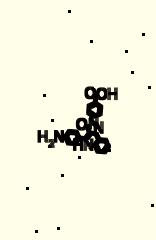 Nc1ccc(-c2[nH]c3ccccc3c3nn(-c4ccc(C(=O)O)cc4)c(=O)c2-3)cc1